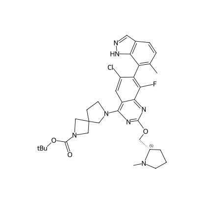 Cc1ccc2cn[nH]c2c1-c1c(Cl)cc2c(N3CCC4(CN(C(=O)OC(C)(C)C)C4)C3)nc(OC[C@@H]3CCCN3C)nc2c1F